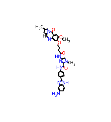 C=C1C[C@H]2C=Nc3cc(OCCCC(=O)Nc4cn(C)c(C(=O)Nc5ccc(-c6nc7cc(N)ccc7[nH]6)cc5)n4)c(OC)cc3C(=O)N2C1